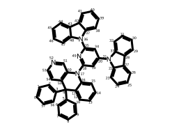 c1ccc(C2(c3ccccc3)c3ccccc3N(c3cc(-n4c5ccccc5c5ccccc54)cc(-n4c5ccccc5c5ccccc54)n3)c3cnccc32)cc1